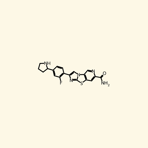 NC(=O)c1cc2sc3nc(-c4ccc(C5CCCN5)cc4F)cn3c2cn1